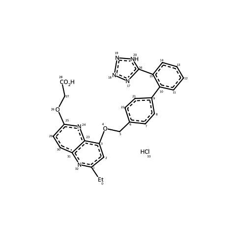 CCc1cc(OCc2ccc(-c3ccccc3-c3nnn[nH]3)cc2)c2nc(OCC(=O)O)ccc2n1.Cl